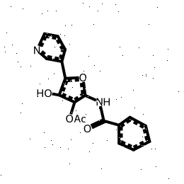 CC(=O)Oc1c(NC(=O)c2ccccc2)oc(-c2cccnc2)c1O